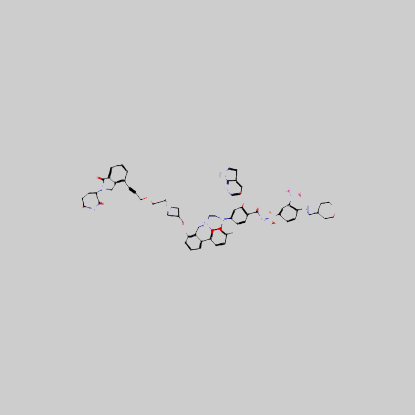 O=C1CCC(N2Cc3c(C#CCOCCN4CC(COc5cccc(-c6ccc(Cl)cc6)c5CN5CCN(c6ccc(C(=O)NS(=O)(=O)c7ccc(NCC8CCOCC8)c([N+](=O)[O-])c7)c(Oc7cnc8[nH]ccc8c7)c6)CC5)C4)cccc3C2=O)C(=O)N1